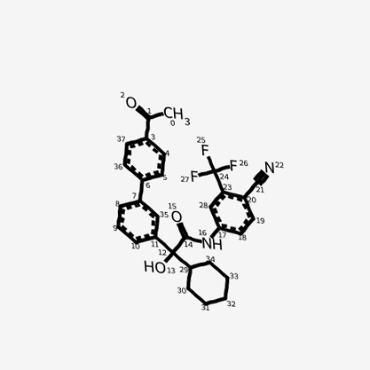 CC(=O)c1ccc(-c2cccc(C(O)(C(=O)Nc3ccc(C#N)c(C(F)(F)F)c3)C3CCCCC3)c2)cc1